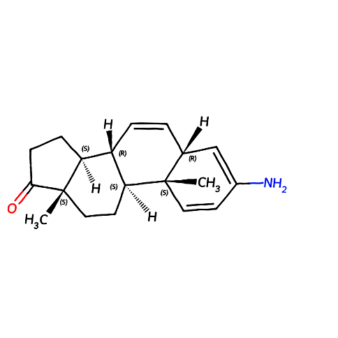 C[C@]12C=CC(N)=C[C@H]1C=C[C@@H]1[C@@H]2CC[C@]2(C)C(=O)CC[C@@H]12